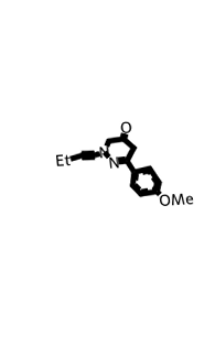 CCC#CN1CC(=O)CC(c2ccc(OC)cc2)=N1